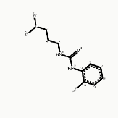 CCN(CC)CCCNC(=O)Nc1ccccc1F